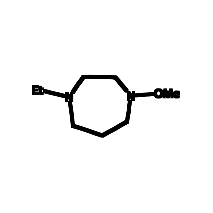 CCN1CCCN(OC)CC1